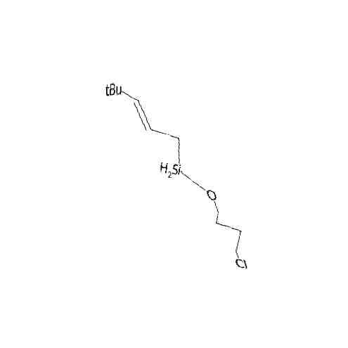 CC(C)(C)C=CC[SiH2]OCCCl